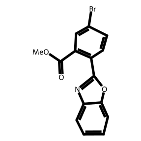 COC(=O)c1cc(Br)ccc1-c1nc2ccccc2o1